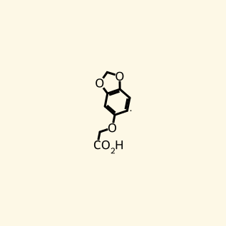 O=C(O)COc1[c]cc2c(c1)OCO2